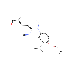 C=N/C(=C\C=C(/C)C(=O)O)N(CC)c1ccc(OCC(C)C)c(C(C)C)c1